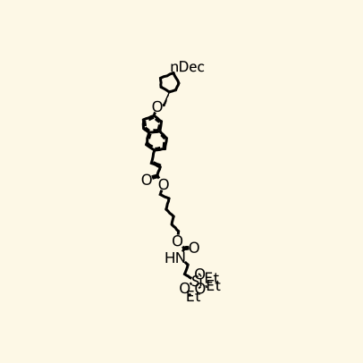 CCCCCCCCCC[C@H]1CC[C@@H](COc2ccc3cc(/C=C/C(=O)OCCCCCCOC(=O)NCC[Si](OCC)(OCC)OCC)ccc3c2)CC1